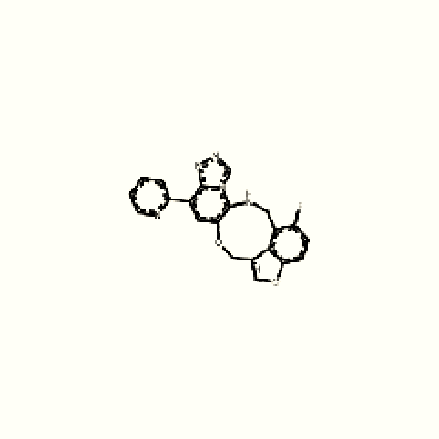 Fc1ccc2c3c1CNc1c(cc(-c4ccccn4)c4nncn14)OC[C@H]3CO2